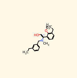 CCc1cccc(CN(C)/C(=C\O)c2cccc(CC)c2OC)c1